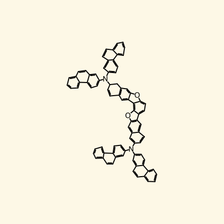 C1=CC(N(c2ccc3c(ccc4ccccc43)c2)c2ccc3c(ccc4ccccc43)c2)Cc2cc3oc4ccc5c6cc7ccc(N(c8ccc9c(ccc%10ccccc%109)c8)c8ccc9c(ccc%10ccccc%109)c8)cc7cc6oc5c4c3cc21